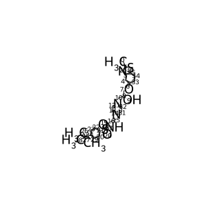 Cc1nc2cc(OC[C@H](O)CN3CCN(CCNS(=O)(=O)c4ccc(C(C)(C)C)cc4)CC3)ccc2s1